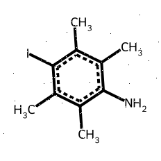 Cc1c(C)c(I)c(C)c(C)c1N